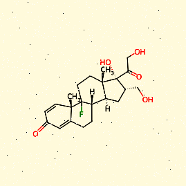 C[C@]12C=CC(=O)C=C1CC[C@H]1[C@@H]3C[C@@H](CO)[C@](O)(C(=O)CO)[C@@]3(C)CCC12F